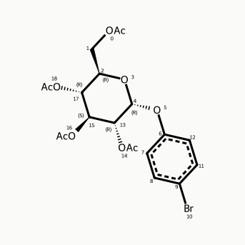 CC(=O)OC[C@H]1O[C@H](Oc2ccc(Br)cc2)[C@H](OC(C)=O)[C@@H](OC(C)=O)[C@@H]1OC(C)=O